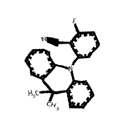 CC1(C)c2ccccc2N(c2cccc(F)c2C#N)c2ccccc21